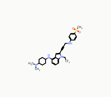 CN(C)C1CCC(Nc2cccc3c2cc(C#CCNc2ccc(S(C)(=O)=O)cc2)n3CC(F)(F)F)CC1